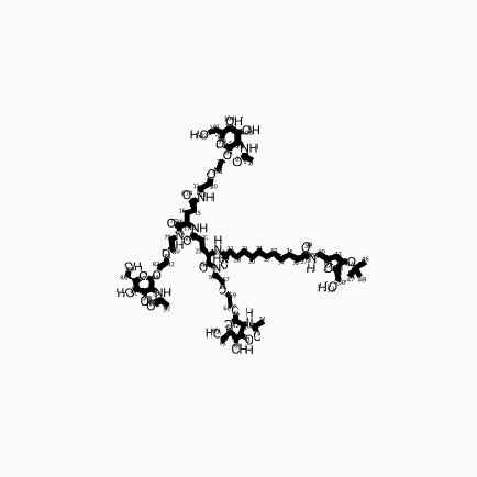 CC(=O)NC1C(OCCOCCNC(=O)CCC(NC(=O)CCC(NC(=O)CCCCCCCCCCC(=O)NCC2CC(OC(C)(C)C)C(CO)O2)C(=O)NCCOCCOC2OC(CO)C(O)C(O)C2NC(C)=O)C(=O)NCCOCCOC2O[C@H](CO)C(O)C(O)C2NC(C)=O)OC(CO)C(O)C1O